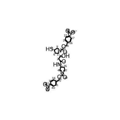 O=C(CC(O)[C@@H]1C[C@H](S)CN1C(=O)OCc1ccc([N+](=O)[O-])cc1)N[C@H]1CCN(C(=O)OCc2ccc([N+](=O)[O-])cc2)C1